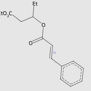 CCOC(=O)CC(CC)OC(=O)/C=C/c1ccccc1